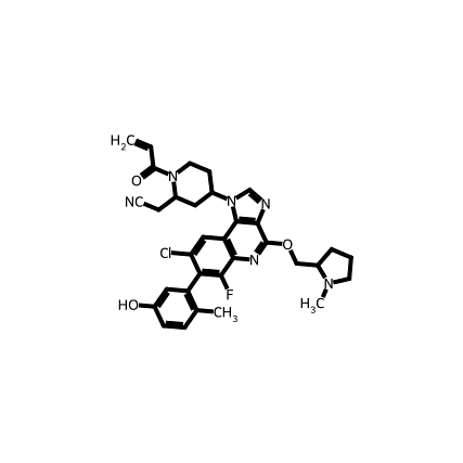 C=CC(=O)N1CCC(n2cnc3c(OCC4CCCN4C)nc4c(F)c(-c5cc(O)ccc5C)c(Cl)cc4c32)CC1CC#N